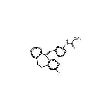 COC(=O)Nc1cccc(C=C2c3ccccc3CCc3cc(Cl)ccc32)c1